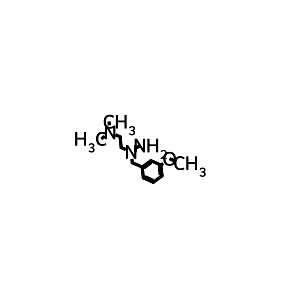 COc1cccc(CN(N)CCN(C)C)c1